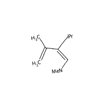 C=C(C)/C(=C\NC)C(C)C